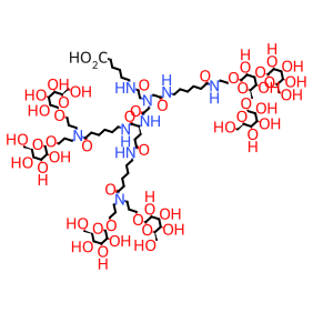 O=C(O)CCCCCNC(=O)CN(CC(=O)NCCCCCC(=O)NCCO[C@@H]1O[C@H](CO[C@H]2O[C@H](CO)[C@@H](O)[C@H](O)[C@@H]2O)[C@@H](O)[C@H](O[C@H]2O[C@H](CO)[C@@H](O)[C@H](O)[C@@H]2O)[C@@H]1O)CC(=O)N[C@@H](CCC(=O)NCCCCCC(=O)N(CCCO[C@H]1O[C@H](CO)[C@@H](O)[C@H](O)[C@@H]1O)CCCO[C@H]1O[C@H](CO)[C@@H](O)[C@H](O)[C@@H]1O)C(=O)NCCCCCC(=O)N(CCCO[C@H]1O[C@H](CO)[C@@H](O)[C@H](O)[C@@H]1O)CCCO[C@H]1O[C@H](CO)[C@@H](O)[C@H](O)[C@@H]1O